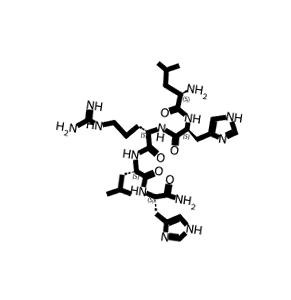 CC(C)C[C@H](NC(=O)[C@H](CCCNC(=N)N)NC(=O)[C@H](Cc1c[nH]cn1)NC(=O)[C@@H](N)CC(C)C)C(=O)N[C@@H](Cc1c[nH]cn1)C(N)=O